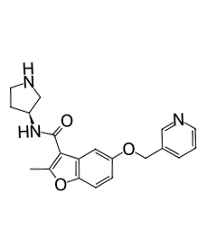 Cc1oc2ccc(OCc3cccnc3)cc2c1C(=O)N[C@H]1CCNC1